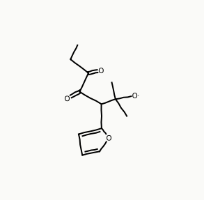 CCC(=O)C(=O)C(c1ccco1)C(C)(C)[O]